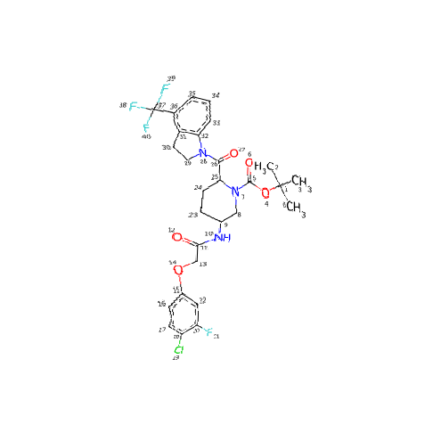 CC(C)(C)OC(=O)N1CC(NC(=O)COc2ccc(Cl)c(F)c2)CCC1C(=O)N1CCc2c1cccc2C(F)(F)F